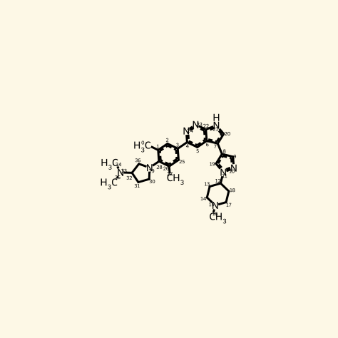 Cc1cc(-c2cc3c(-c4cnn(C5CCN(C)CC5)c4)c[nH]c3nn2)cc(C)c1N1CCC(N(C)C)C1